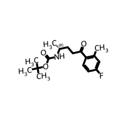 Cc1cc(F)ccc1C(=O)CC[C@@H](C)NC(=O)OC(C)(C)C